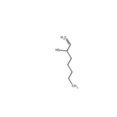 C=CC(S)CCCCC